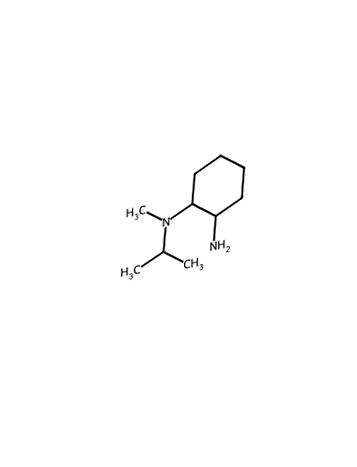 CC(C)N(C)C1CCCCC1N